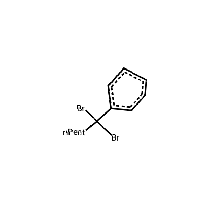 CCCCCC(Br)(Br)c1ccccc1